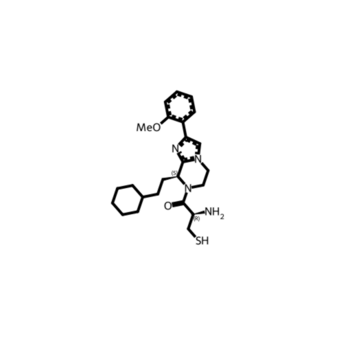 COc1ccccc1-c1cn2c(n1)[C@H](CCC1CCCCC1)N(C(=O)[C@@H](N)CS)CC2